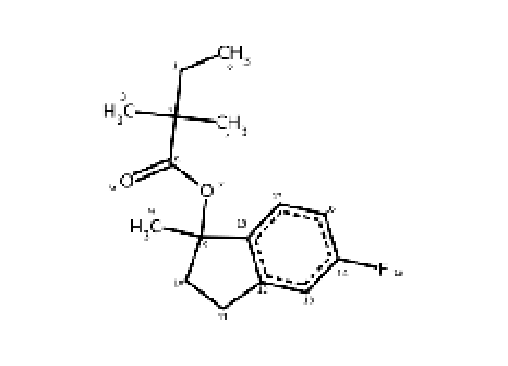 CCC(C)(C)C(=O)OC1(C)CCc2cc(F)ccc21